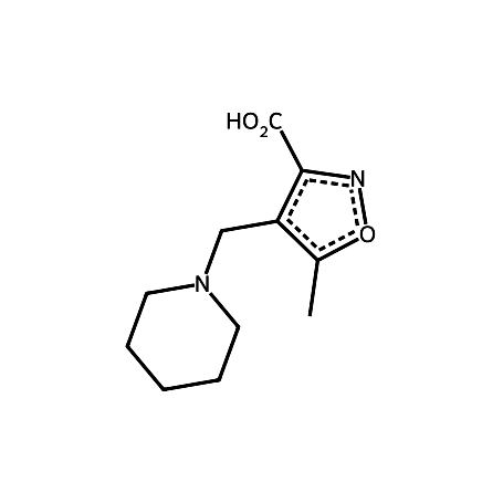 Cc1onc(C(=O)O)c1CN1CCCCC1